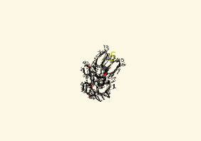 N#Cc1ccccc1-c1c2ccccc2c(C2=C3c4c(cccc4-c4c5ccccc5c(-c5ccccc5)c5ccccc45)SC3CC=C2)c2ccccc12